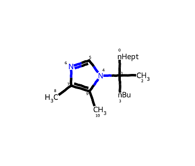 CCCCCCCC(C)(CCCC)n1cnc(C)c1C